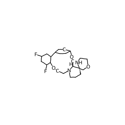 FC1CC(F)C2OCCN3CCC[C@@]4(COCCN4)[C@@H]3COC3CCC(CC3)C2C1